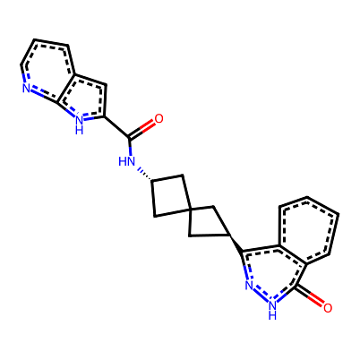 O=C(N[C@H]1CC2(C1)C[C@H](c1n[nH]c(=O)c3ccccc31)C2)c1cc2cccnc2[nH]1